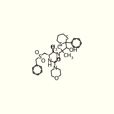 CC(C)(NC(=O)[C@H](CS(=O)(=O)Cc1ccccc1)NC(=O)N1CCOCC1)C(O)C1(c2ccccc2)SCCCS1